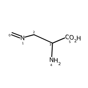 C=NCC(N)C(=O)O